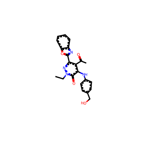 CCn1nc(-c2nc3ccccc3o2)c(C(C)=O)c(Nc2ccc(CO)cc2)c1=O